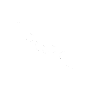 Cn1c(Nc2nc3ccc(OCCO)cc3o2)nc2cc(C(=O)NCCN)ccc21